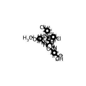 CCOc1cccc(CN2[C@H]3COc4c5ccc(C(=O)O)cc5nn4C[C@H]3[C@H](c3cccc(Cl)c3F)[C@]2(C)C(=O)Nc2cccc(Cl)c2)c1